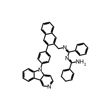 N/C(=N\C(=N/Cc1cc2ccccc2cc1-c1ccc(-n2c3ccccc3c3cnccc32)cc1)c1ccccc1)C1=CCCC=C1